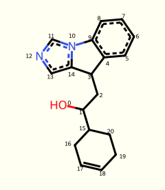 OC(CC1c2ccccc2-n2cncc21)C1CC=CCC1